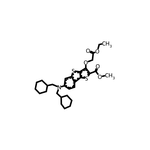 CCOC(=O)COc1c(C(=O)OC)sc2c1sc1cc(N(CC3CCCCC3)CC3CCCCC3)ccc12